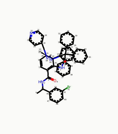 CC(NC(=O)C1=C2Nc3ccccc3C23[C@@H](C=C1)N(c1ccncc1)CN3C(c1ccccc1)(c1ccccc1)c1ccccc1)c1cccc(Br)c1